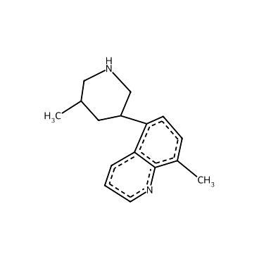 Cc1ccc(C2CNCC(C)C2)c2cccnc12